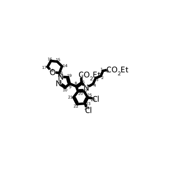 CCOC(=O)CCCCn1c(C(=O)OCC)c(-c2cnn(C3CCCCO3)c2)c2ccc(Cl)c(Cl)c21